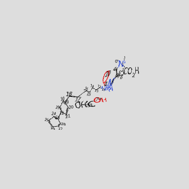 C[N+](C)(C)C[C@@H](CC(=O)O)NC(=O)NCCCCCCCc1ccc(-c2ccccc2)cc1.O=CO